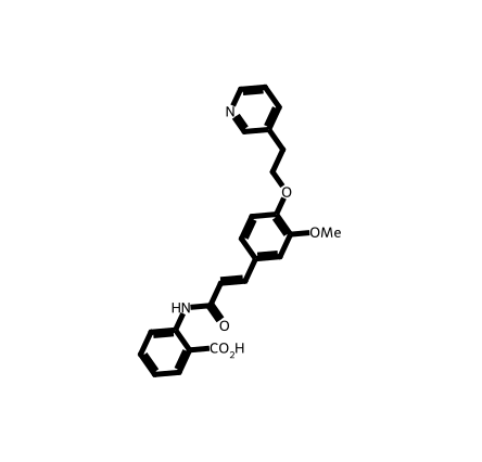 COc1cc(C=CC(=O)Nc2ccccc2C(=O)O)ccc1OCCc1cccnc1